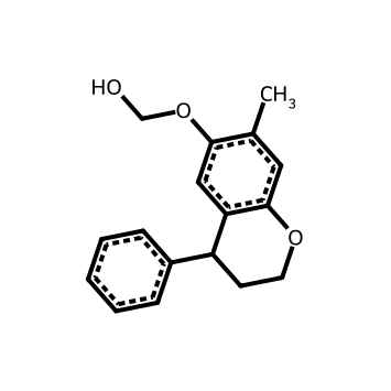 Cc1cc2c(cc1OCO)C(c1ccccc1)CCO2